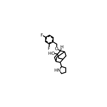 OC12CC3CC(CC(C1)C3C1CCCN1)[C@H]2OCc1ccc(F)cc1F